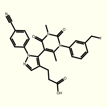 Cc1c(-c2c(CCC(=O)O)cnn2-c2ccc(C#N)cc2)c(=O)n(C)c(=O)n1-c1cccc(CF)c1